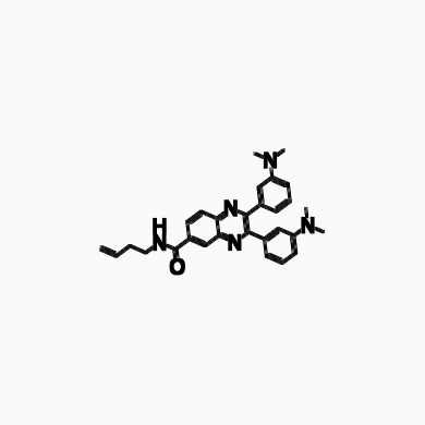 C=CCCNC(=O)c1ccc2nc(-c3cccc(N(C)C)c3)c(-c3cccc(N(C)C)c3)nc2c1